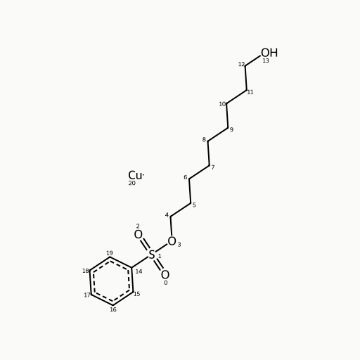 O=S(=O)(OCCCCCCCCCO)c1ccccc1.[Cu]